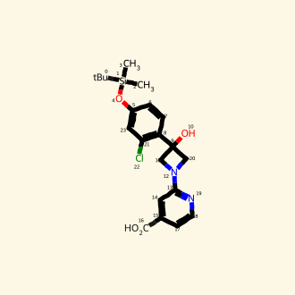 CC(C)(C)[Si](C)(C)Oc1ccc(C2(O)CN(c3cc(C(=O)O)ccn3)C2)c(Cl)c1